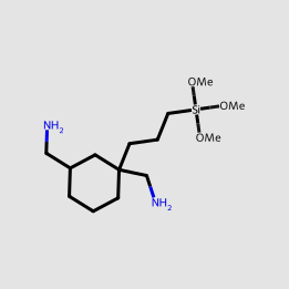 CO[Si](CCCC1(CN)CCCC(CN)C1)(OC)OC